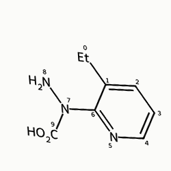 CCc1cccnc1N(N)C(=O)O